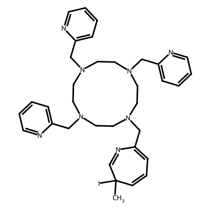 CC1(I)C=CC=C(CN2CCN(Cc3ccccn3)CCN(Cc3ccccn3)CCN(Cc3ccccn3)CC2)N=C1